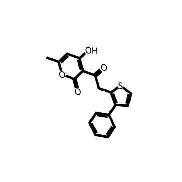 Cc1cc(O)c(C(=O)Cc2sccc2-c2ccccc2)c(=O)o1